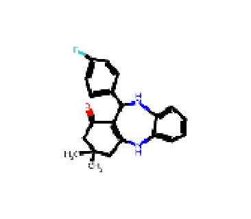 CC1(C)CC(=O)C2=C(C1)Nc1ccccc1NC2c1ccc(F)cc1